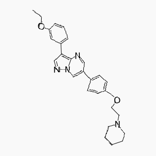 CCOc1cccc(-c2cnn3cc(-c4ccc(OCCN5CCCCC5)cc4)cnc23)c1